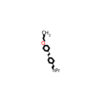 C=CCCO[C@H]1CC[C@H](CC[C@H]2CC[C@H](/C=C/CCC)CC2)CC1